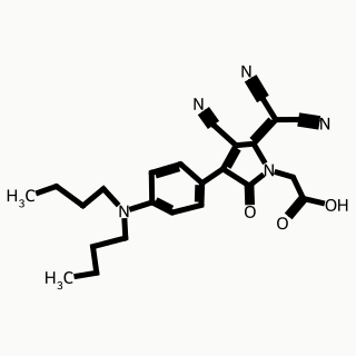 CCCCN(CCCC)c1ccc(C2=C(C#N)C(=C(C#N)C#N)N(CC(=O)O)C2=O)cc1